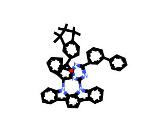 CC1(C)c2ccc(-c3ccc(-n4c5ccccc5c5ccc6c7ccccc7n(-c7nc(-c8ccccc8)nc(-c8cccc(-c9ccccc9)c8)n7)c6c54)cc3)cc2C(C)(C)C1(C)C